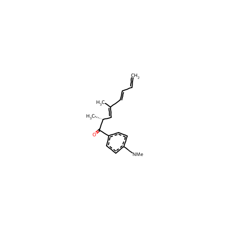 C=C/C=C/C(C)=C/[C@@H](C)C(=O)c1ccc(NC)cc1